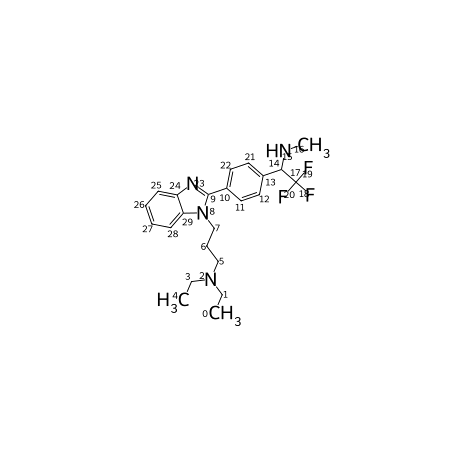 CCN(CC)CCCn1c(-c2ccc(C(NC)C(F)(F)F)cc2)nc2ccccc21